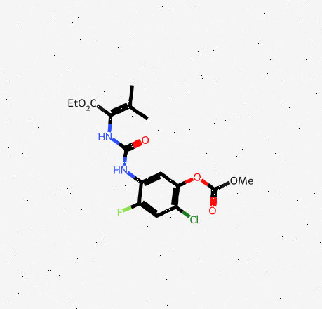 CCOC(=O)C(NC(=O)Nc1cc(OC(=O)OC)c(Cl)cc1F)=C(C)C